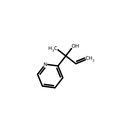 C=CC(C)(O)c1ccccn1